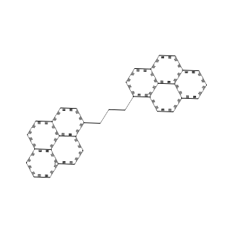 c1cc2ccc3ccc(CCCc4ccc5ccc6cccc7ccc4c5c67)c4ccc(c1)c2c34